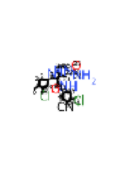 Cc1ccc(-c2nn3c(c2C(=O)Nc2ccc(C#N)c(Cl)c2)CN(C(N)=O)CC3)cc1Cl